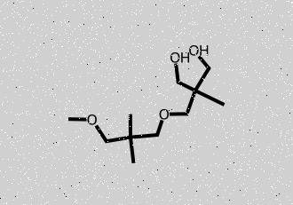 COCC(C)(C)COCC(C)(CO)CO